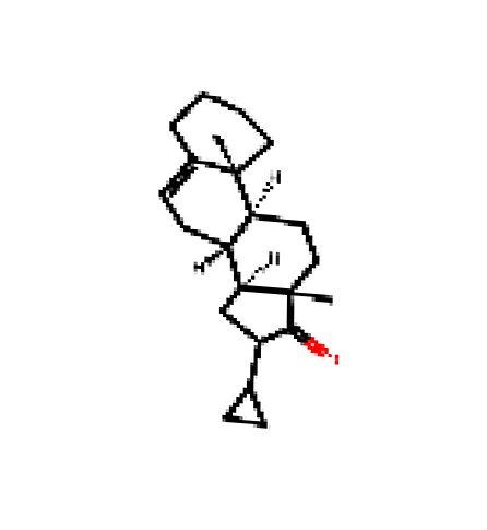 C[C@]12CCCCC1=CC[C@@H]1[C@@H]2CC[C@]2(C)C(=O)C(C3CC3)C[C@@H]12